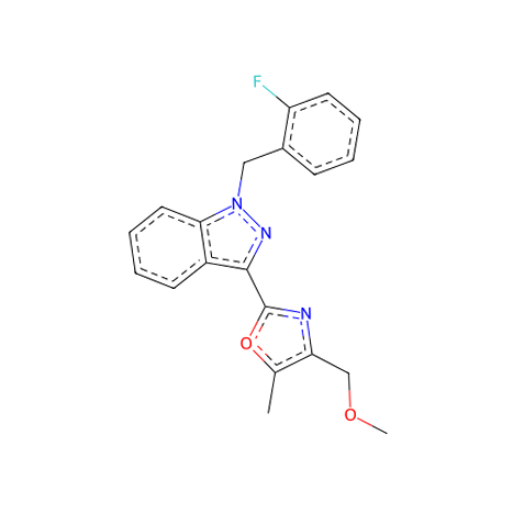 COCc1nc(-c2nn(Cc3ccccc3F)c3ccccc23)oc1C